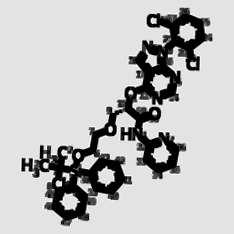 CC(C)(C)[Si](OCCOC[C@H](Oc1ncnc2c1cnn2-c1c(Cl)cccc1Cl)C(=O)Nc1ccccn1)(c1ccccc1)c1ccccc1